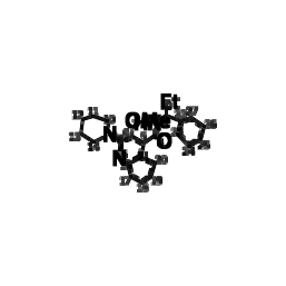 CCC(NC(=O)c1c(OC)c(N2CCCCC2)nc2ccccc12)c1ccccc1